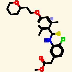 C=C(/C=C(/C)C(C(=S)Nc1cc(CC(=O)OC)ccc1Cl)=C(C)C)OCCC1CCCCO1